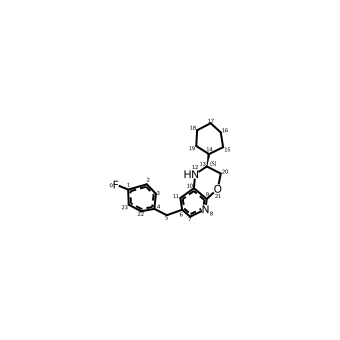 Fc1ccc(Cc2cnc3c(c2)N[C@@H](C2CCCCC2)CO3)cc1